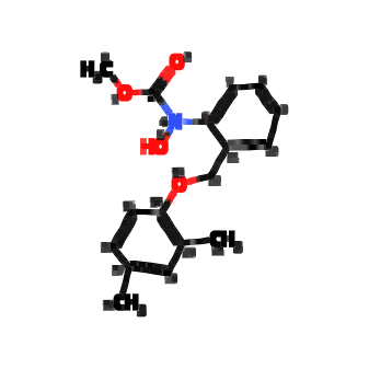 COC(=O)N(O)c1ccccc1COc1ccc(C)cc1C